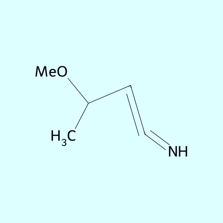 COC(C)C=C=N